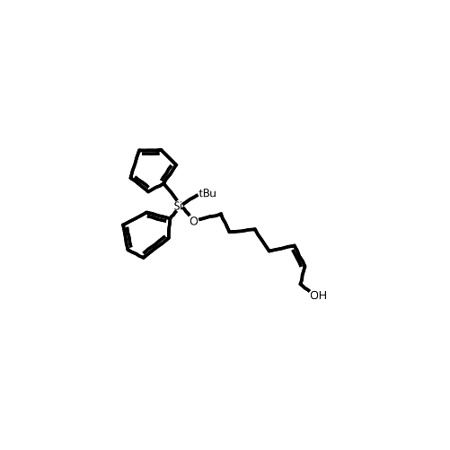 CC(C)(C)[Si](OCCCC/C=C\CO)(c1ccccc1)c1ccccc1